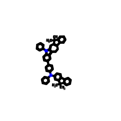 CC1(C)C2=C(CC=c3c(n(-c4ccccc4)c4ccc(-c5ccc(N(c6ccccc6)c6ccc7c(c6)C(C)(C)c6ccccc6-7)cc5)cc34)=C2)c2ccccc21